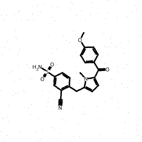 COc1ccc(C(=O)c2ccc(Cc3ccc(S(N)(=O)=O)cc3C#N)n2C)cc1